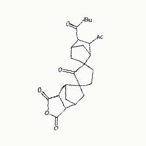 CCC(C)C(=O)C1C2CC(C1C(C)=O)C1(CCC3(CC4CC3C3C(=O)OC(=O)C43)C1=O)C2